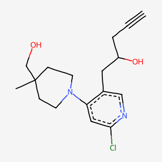 C#CCC(O)Cc1cnc(Cl)cc1N1CCC(C)(CO)CC1